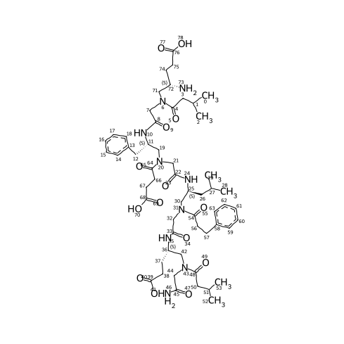 CC(C)CC(=O)N(CC(=O)N[C@@H](Cc1ccccc1)CN(CC(=O)N[C@@H](CC(C)C)CN(CC(=O)N[C@@H](CCC(=O)O)CN(CC(N)=O)C(=O)CC(C)C)C(=O)CCc1ccccc1)C(=O)CCC(=O)O)C[C@@H](N)CCC(=O)O